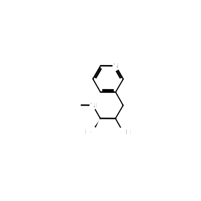 CN[C@H](C)C(C)Cc1cccnc1